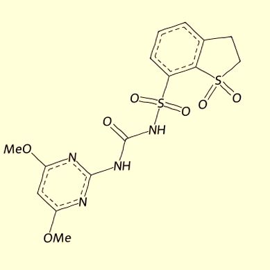 COc1cc(OC)nc(NC(=O)NS(=O)(=O)c2cccc3c2S(=O)(=O)CC3)n1